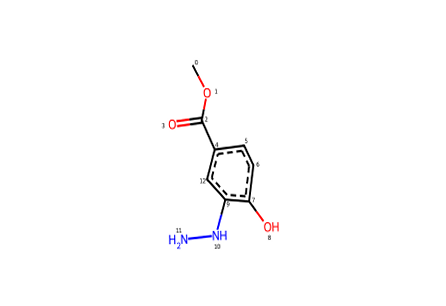 COC(=O)c1ccc(O)c(NN)c1